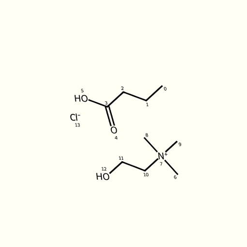 CCCC(=O)O.C[N+](C)(C)CCO.[Cl-]